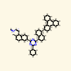 C=N/C=C\c1c(C)ccc2cc(-c3nc(-c4ccccc4)nc(-c4cccc5c(-c6ccc7c8ccccc8c8ccccc8c7c6)cccc45)n3)ccc12